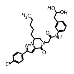 CCCCCC1CN(CC(=O)Nc2cccc(CC(O)O)c2)C(=O)c2cc(-c3ccc(Cl)cc3)nn21